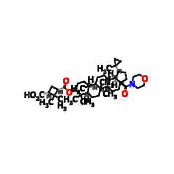 CC1([C@@H]2CC[C@]3(C(=O)N4CCOCC4)CC[C@]4(C)[C@H](CC[C@@H]5[C@@]6(C)CC[C@H](OC(=O)[C@H]7C[C@@H](C(=O)O)C7(C)C)C(C)(C)[C@@H]6CC[C@]54C)[C@@H]23)CC1